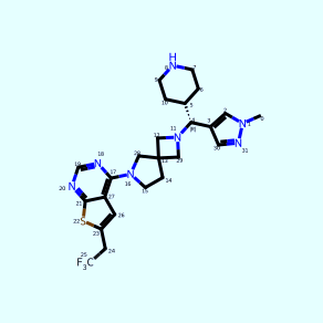 Cn1cc([C@@H](C2CCNCC2)N2CC3(CCN(c4ncnc5sc(CC(F)(F)F)cc45)C3)C2)cn1